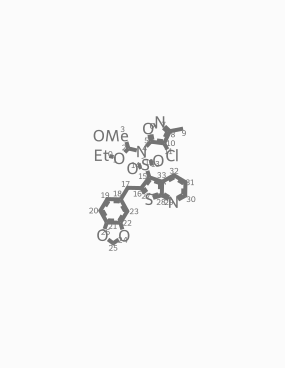 CCOC(OC)N(c1onc(C)c1Cl)S(=O)(=O)c1c(Cc2ccc3c(c2)OCO3)sc2ncccc12